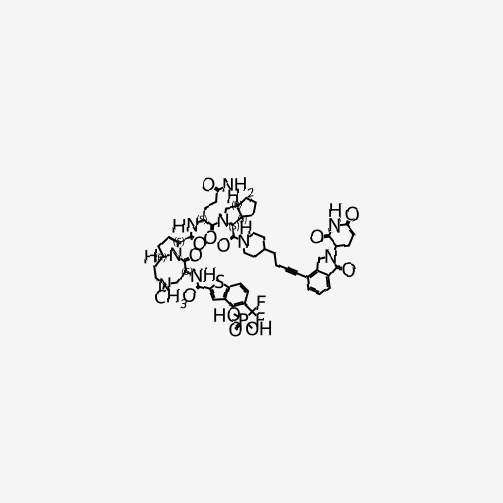 CN1CC[C@H]2CC[C@@H](C(=O)N[C@@H](CCC(N)=O)C(=O)N3C[C@@H]4CCC[C@@H]4[C@H]3C(=O)N3CCC(CCC#Cc4cccc5c4CN(C4CCC(=O)NC4=O)C5=O)CC3)N2C(=O)[C@@H](NC(=O)c2cc3cc(C(F)(F)P(=O)(O)O)ccc3s2)C1